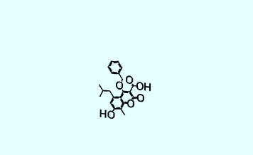 Cc1c(O)cc(CC(C)C)c2c(OCc3ccccc3)c(C(=O)O)c(=O)oc12